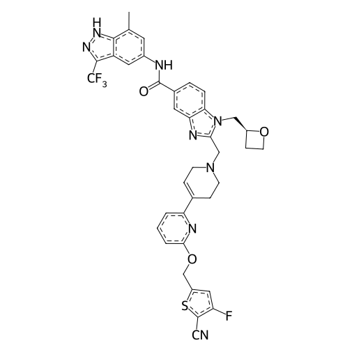 Cc1cc(NC(=O)c2ccc3c(c2)nc(CN2CC=C(c4cccc(OCc5cc(F)c(C#N)s5)n4)CC2)n3C[C@@H]2CCO2)cc2c(C(F)(F)F)n[nH]c12